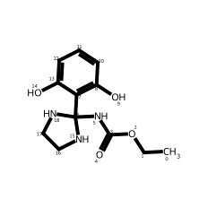 CCOC(=O)NC1(c2c(O)cccc2O)NCCN1